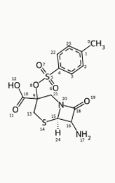 Cc1ccc(S(=O)(=O)OC2(C(=O)O)CS[C@@H]3C(N)C(=O)N3C2)cc1